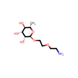 C[C@@H]1O[C@@H](OCCOCCN)[C@H](O)[C@H](O)[C@H]1O